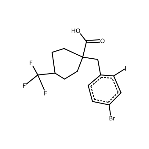 O=C(O)C1(Cc2ccc(Br)cc2I)CCC(C(F)(F)F)CC1